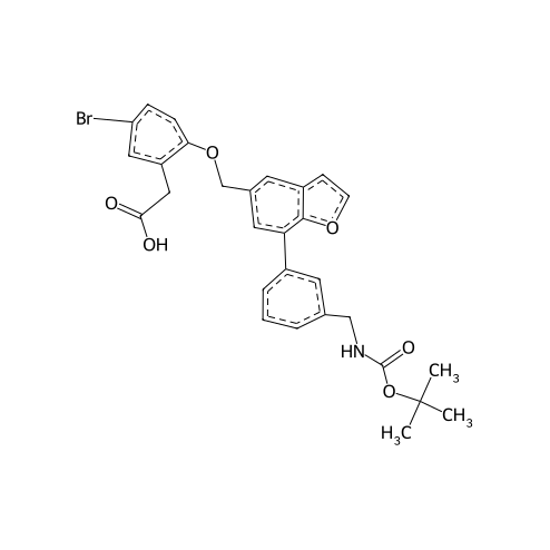 CC(C)(C)OC(=O)NCc1cccc(-c2cc(COc3ccc(Br)cc3CC(=O)O)cc3ccoc23)c1